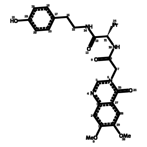 COc1cc2ncn(CC(=O)N[C@H](C(=O)NCCc3ccc(O)cc3)C(C)C)c(=O)c2cc1OC